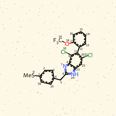 CSc1ccc(Cc2nc3c(Cl)c(-c4ccccc4OC(F)(F)F)c(Cl)cc3[nH]2)cc1